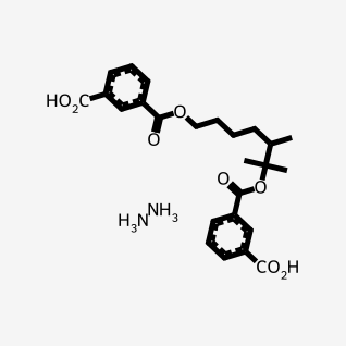 CC(CCCCOC(=O)c1cccc(C(=O)O)c1)C(C)(C)OC(=O)c1cccc(C(=O)O)c1.N.N